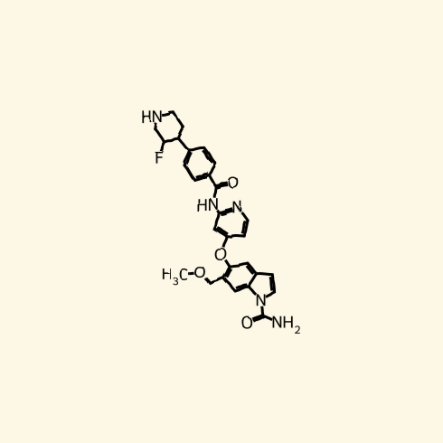 COCc1cc2c(ccn2C(N)=O)cc1Oc1ccnc(NC(=O)c2ccc(C3CCNCC3F)cc2)c1